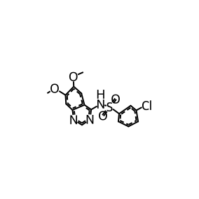 COc1cc2ncnc(NS(=O)(=O)c3cccc(Cl)c3)c2cc1OC